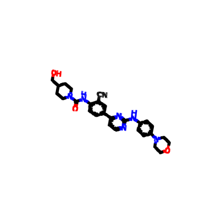 N#Cc1cc(-c2ccnc(Nc3ccc(N4CCOCC4)cc3)n2)ccc1NC(=O)N1CCC(CO)CC1